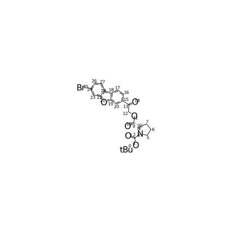 CC(C)(C)OC(=O)N1CCC[C@H]1C(=O)OCC(=O)c1ccc2c(c1)oc1cc(Br)ccc12